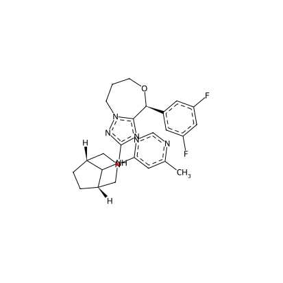 Cc1cc(N2C[C@H]3CC[C@@H](C2)C3Nc2nc3n(n2)CCCO[C@H]3c2cc(F)cc(F)c2)ncn1